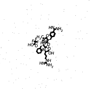 CN(C)C(=O)[C@@H](Cc1ccc(C(=N)N)cc1)C(=O)N[C@@H](CC1CCCCC1)C(=O)NC(CCCNC(=N)N)C(=O)O.O=C(O)C(F)(F)F